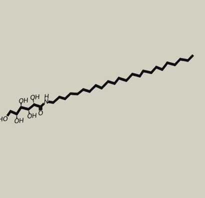 CCCCCCCCCCCCCCCCCCCCCCCCNC(=O)[C@@H](O)[C@H](O)[C@@H](O)[C@H](O)CO